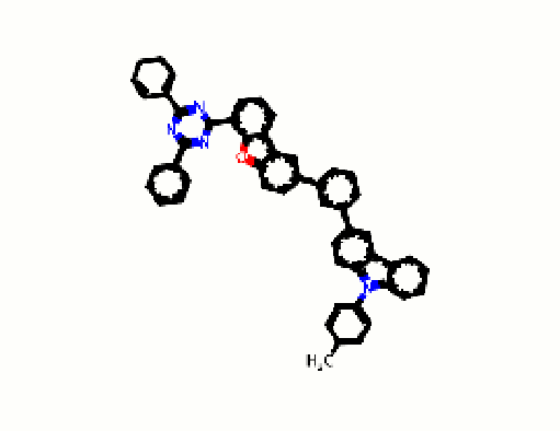 CC1C=CC(n2c3ccccc3c3cc(-c4cccc(-c5ccc6oc7c(-c8nc(C9=CCCC=C9)nc(-c9ccccc9)n8)cccc7c6c5)c4)ccc32)=CC1